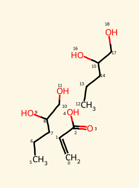 C=CC(=O)O.CCCC(O)CO.CCCC(O)CO